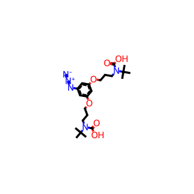 CC(C)(C)N(CCCOc1cc(N=[N+]=[N-])cc(OCCCN(C(=O)O)C(C)(C)C)c1)C(=O)O